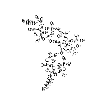 O=P([O-])([O-])OP(=O)([O-])OP(=O)([O-])OP(=O)([O-])OP(=O)([O-])[O-].O=P([O-])([O-])OP(=O)([O-])OP(=O)([O-])OP(=O)([O-])OP(=O)([O-])[O-].O=P([O-])([O-])OP(=O)([O-])OP(=O)([O-])OP(=O)([O-])OP(=O)([O-])[O-].[Pr+3].[Pr+3].[Pr+3].[Pr+3].[Pr+3].[Pr+3].[Pr+3]